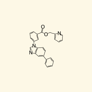 O=C(OCc1ccccn1)c1cccc(-n2cnc3cc(-c4ccccc4)ccc32)c1